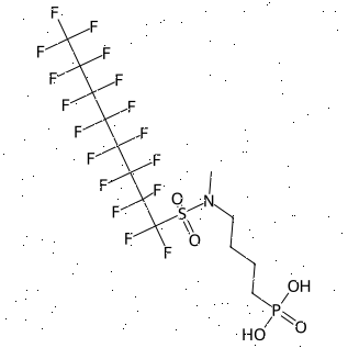 CN(CCCCP(=O)(O)O)S(=O)(=O)C(F)(F)C(F)(F)C(F)(F)C(F)(F)C(F)(F)C(F)(F)C(F)(F)C(F)(F)F